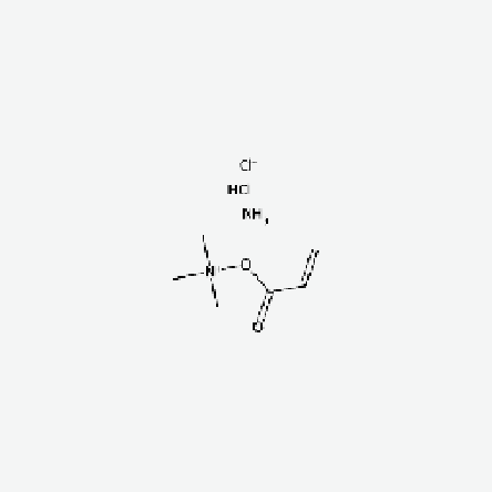 C=CC(=O)O[N+](C)(C)C.Cl.N.[Cl-]